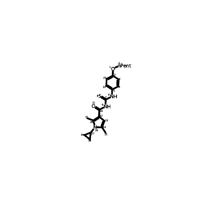 CCCCCOc1ccc(NC(=S)NC(=O)c2cc(C)n(C3CC3)c2C)cc1